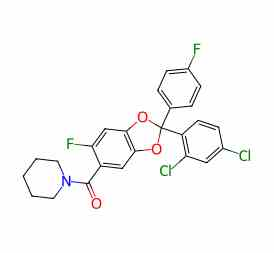 O=C(c1cc2c(cc1F)OC(c1ccc(F)cc1)(c1ccc(Cl)cc1Cl)O2)N1CCCCC1